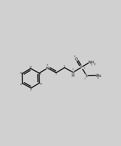 CCC(C)SP(N)(=O)NCC=Nc1ccccc1